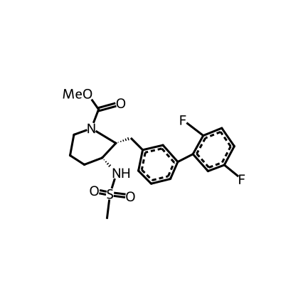 COC(=O)N1CCC[C@@H](NS(C)(=O)=O)[C@H]1Cc1cccc(-c2cc(F)ccc2F)c1